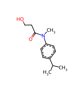 CC(C)c1ccc(N(C)C(=O)CCO)cc1